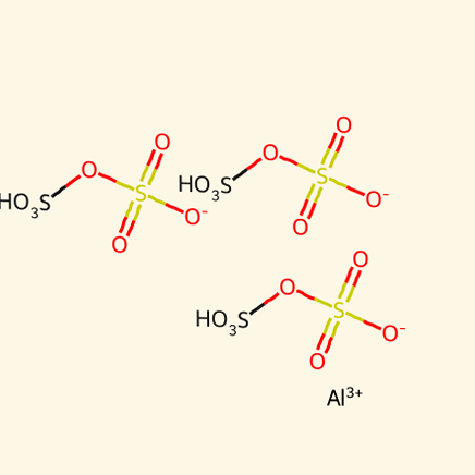 O=S(=O)([O-])OS(=O)(=O)O.O=S(=O)([O-])OS(=O)(=O)O.O=S(=O)([O-])OS(=O)(=O)O.[Al+3]